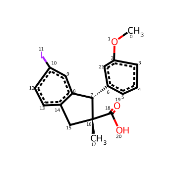 COc1cccc([C@H]2c3cc(I)ccc3C[C@@]2(C)C(=O)O)c1